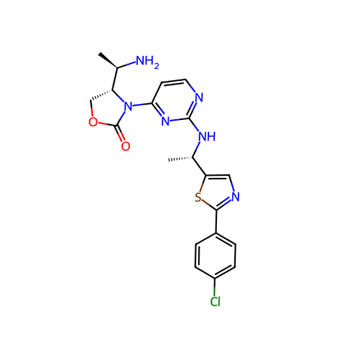 C[C@H](Nc1nccc(N2C(=O)OC[C@@H]2[C@@H](C)N)n1)c1cnc(-c2ccc(Cl)cc2)s1